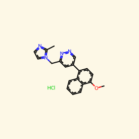 COc1ccc(-c2cnnc(Cn3ccnc3C)c2)c2ccccc12.Cl